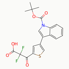 CC(C)(C)OC(=O)n1cc(-c2csc(C(=O)C(F)(F)C(=O)O)c2)c2ccccc21